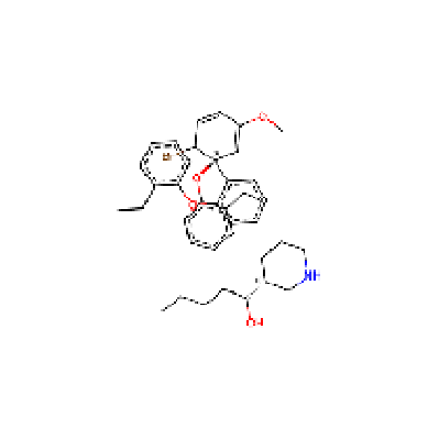 CCCCC(O)[C@@H]1CCCNC1.CCc1ccccc1Oc1ccccc1[C@@]1(Oc2ccccc2CC)C=C(OC)C=CC1Br